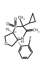 C=C1N[C@@]2(c3ccccc3F)COC[C@H]2S(=O)(=O)C1(C)C1CC1